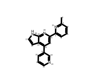 Cc1cccc(-c2cc(-c3cccnc3)c3cc[nH]c3n2)n1